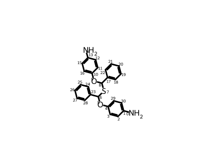 Nc1ccc(OC(SC(Oc2ccc(N)cc2)c2ccccc2)c2ccccc2)cc1